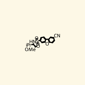 COC(=O)C(NS(=O)(=O)c1ccc2c(c1)oc1ccc(C#N)cc12)C(C)C